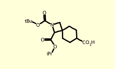 CC(C)OC(=O)C1N(C(=O)OC(C)(C)C)CC12CCC(C(=O)O)CC2